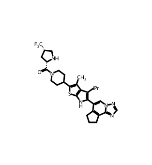 Cc1c(C2CCN(C(=O)[C@@H]3C[C@H](C(F)(F)F)CN3)CC2)sc2[nH]c(-c3cn4ncnc4c4c3CCC4)c(C(C)C)c12